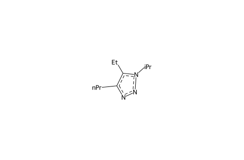 CCCc1nnn(C(C)C)c1CC